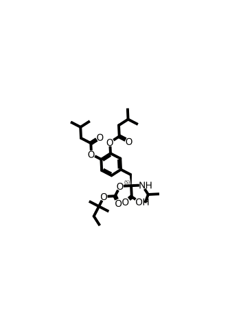 CCC(C)(C)OC(=O)O[C@](Cc1ccc(OC(=O)CC(C)C)c(OC(=O)CC(C)C)c1)(NC(C)C)C(=O)O